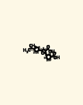 CC(C)c1ccc(-c2cc(C(=O)O)c(-c3cccc(C(=O)O)c3)o2)cc1